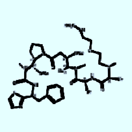 CC[C@H](C)[C@@H]([C@@H](CC(=O)N1CCC[C@H]1[C@H](OC)[C@@H](C)C(=O)N[C@@H](Cc1ccccc1)c1nccs1)OC)N(C)C(=O)[C@@H](NC(=O)[C@H](C(C)C)N(C)CCOCCNC(=O)O)C(C)C